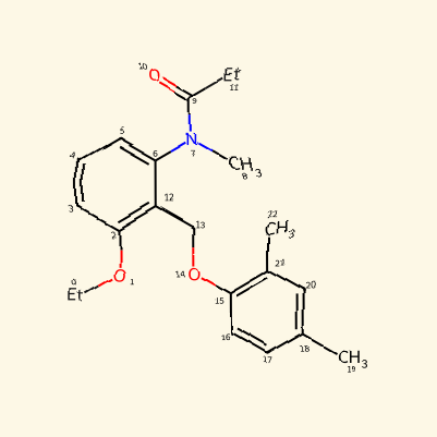 CCOc1cccc(N(C)C(=O)CC)c1COc1ccc(C)cc1C